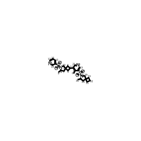 Cc1c(C2CC3(C2)CC(C)N(S(=O)(=O)c2cccnc2)C3)cncc1S(=O)(=O)N1CC2(CCC2)CC1C